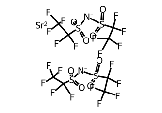 O=S(=O)([N-]S(=O)(=O)C(F)(F)C(F)(F)F)C(F)(F)C(F)(F)F.O=S(=O)([N-]S(=O)(=O)C(F)(F)C(F)(F)F)C(F)(F)C(F)(F)F.[Sr+2]